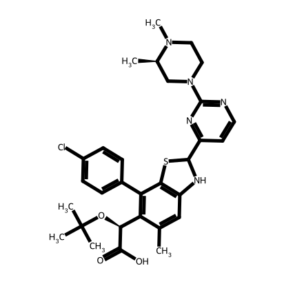 Cc1cc2c(c(-c3ccc(Cl)cc3)c1[C@H](OC(C)(C)C)C(=O)O)SC(c1ccnc(N3CCN(C)[C@H](C)C3)n1)N2